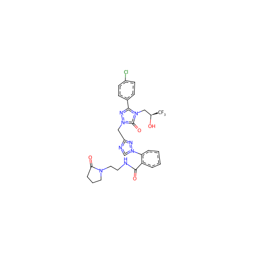 O=C(NCCN1CCCC1=O)c1ccccc1-n1cnc(Cn2nc(-c3ccc(Cl)cc3)n(C[C@H](O)C(F)(F)F)c2=O)n1